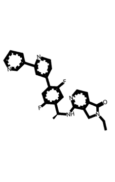 CCN1Cc2c(ccnc2N[C@@H](C)c2cc(F)c(-c3ccnc(-c4cccnc4)c3)cc2F)C1=O